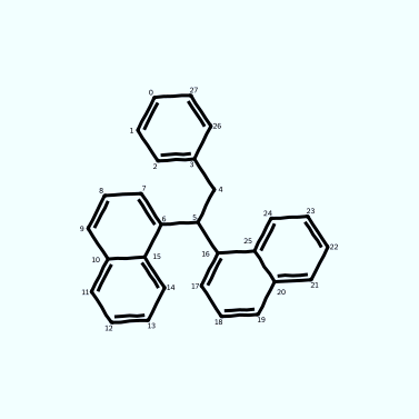 c1ccc(C[C](c2cccc3ccccc23)c2cccc3ccccc23)cc1